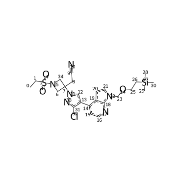 CCS(=O)(=O)N1CC(CC#N)(n2cc(-c3ccnc4c3ccn4COCC[Si](C)(C)C)c(Cl)n2)C1